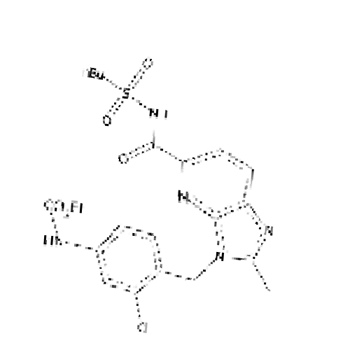 CCCCS(=O)(=O)NC(=O)c1ccc2nc(C)n(Cc3ccc(NC(=O)OCC)cc3Cl)c2n1